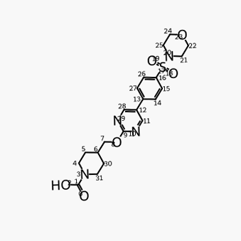 O=C(O)N1CCC(COc2ncc(-c3ccc(S(=O)(=O)N4CCOCC4)cc3)cn2)CC1